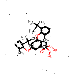 Cc1cccc(C(C)(C)C)c1Oc1cc(Oc2c(C)cccc2C(C)(C)C)c2[c](c1)[Ti](=[O])([O]O)([O]O)[CH2]2